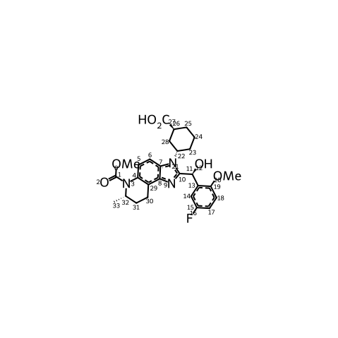 COC(=O)N1c2ccc3c(nc([C@@H](O)c4cc(F)ccc4OC)n3[C@H]3CCC[C@H](C(=O)O)C3)c2CC[C@@H]1C